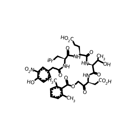 Cc1cccc(C)c1C(=O)OCC(=O)[C@H](CC(=O)O)NC(=O)[C@@H](NC(=O)[C@H](CCC(=O)O)NC(=O)[C@H](CC(C)C)NC(=O)Cc1ccc(O)c([N+](=O)[O-])c1)C(C)O